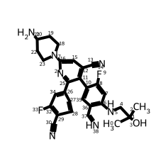 CC(C)(O)CNc1cc(F)c(-c2c(C#N)cc(N3CCC(N)CC3)nc2-c2ccc(C#N)c(F)c2)cc1C=N